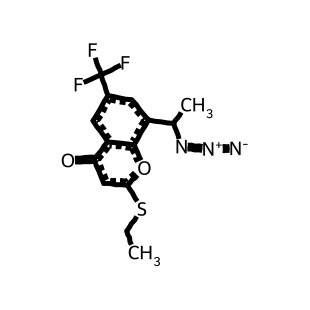 CCSc1cc(=O)c2cc(C(F)(F)F)cc(C(C)N=[N+]=[N-])c2o1